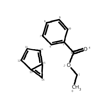 CCOC(=O)c1ccccc1.c1cc2cc-2c1